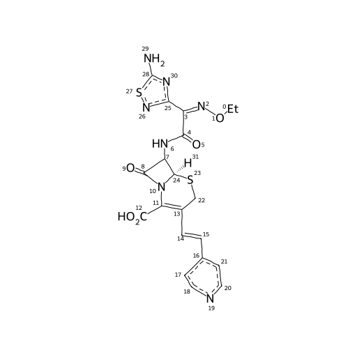 CCO/N=C(\C(=O)NC1C(=O)N2C(C(=O)O)=C(/C=C/c3ccncc3)CS[C@H]12)c1nsc(N)n1